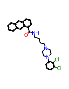 O=C(NCCCCN1CCN(c2cccc(Cl)c2Cl)CC1)c1cccc2cc3ccccc3cc12